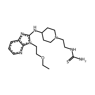 CCOCCn1c(NC2CCN(CCNC(N)=S)CC2)nc2cccnc21